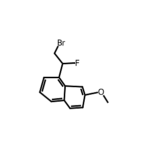 COc1ccc2cccc(C(F)CBr)c2c1